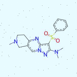 CN1CCc2nc3c(S(=O)(=O)c4ccccc4)c(N(C)C)nn3cc2C1